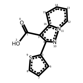 O=C(O)c1c(-c2cccs2)nn2ccccc12